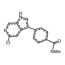 CNC(=O)c1ccc(-c2n[nH]c3cnc(Cl)cc23)cc1